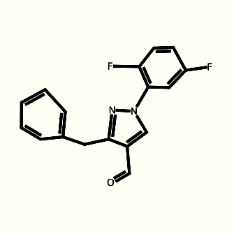 O=Cc1cn(-c2cc(F)ccc2F)nc1Cc1ccccc1